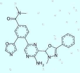 CN(C)C(=O)c1ccc(-c2cnc(N)c(C3OC(c4ccccc4)=NN3C)n2)c(-c2cnco2)c1